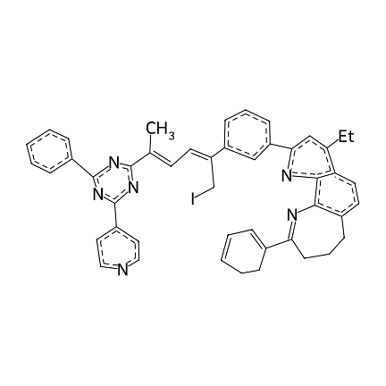 CCc1cc(-c2cccc(/C(=C/C=C(\C)c3nc(-c4ccccc4)nc(-c4ccncc4)n3)CI)c2)nc2c3c(ccc12)CCCC(C1=CC=CCC1)=N3